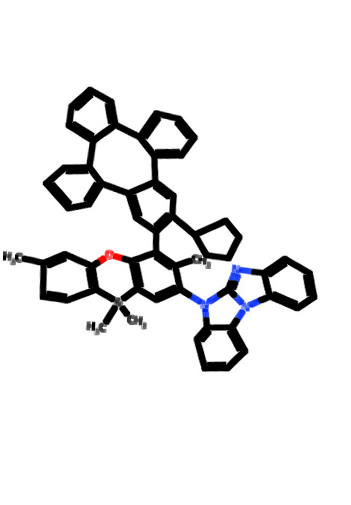 Cc1ccc2c(c1)Oc1c(cc(-n3c4ccccc4n4c5ccccc5nc34)c(C)c1-c1cc3c(cc1C1CCCC1)-c1ccccc1-c1ccccc1-c1ccccc1-3)[Si]2(C)C